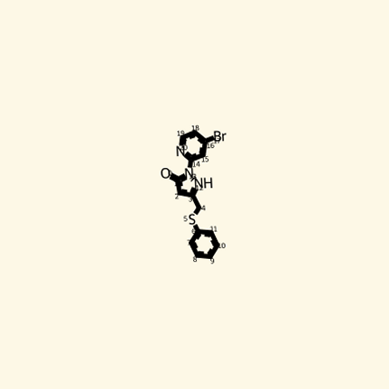 O=c1cc(CSc2ccccc2)[nH]n1-c1cc(Br)ccn1